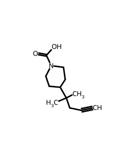 C#CCC(C)(C)C1CCN(C(=O)O)CC1